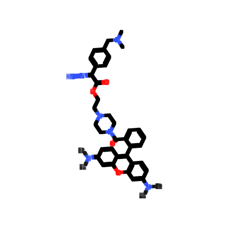 CCN(CC)c1ccc2c(-c3ccccc3C(=O)N3CCN(CCOC(=O)C(=[N+]=N)c4ccc(CN(C)C)cc4)CC3)c3ccc(=[N+](CC)CC)cc-3oc2c1